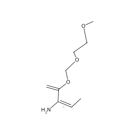 C=C(OCOCCOC)/C(N)=C\C